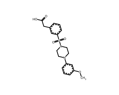 COc1cccc(N2CCN(S(=O)(=O)c3cccc(CC(=O)O)c3)CC2)c1